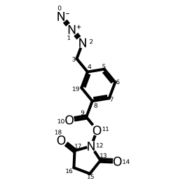 [N-]=[N+]=NCc1cccc(C(=O)ON2C(=O)CCC2=O)c1